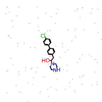 OC(Cc1ccc(-c2ccc(Cl)cc2)cc1)N1CCNCC1